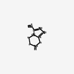 CC(C)(C)c1nnc2n1CCNC2